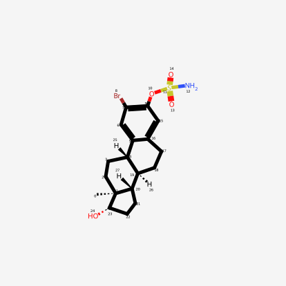 C[C@]12CC[C@@H]3c4cc(Br)c(OS(N)(=O)=O)cc4CC[C@H]3[C@@H]1CC[C@@H]2O